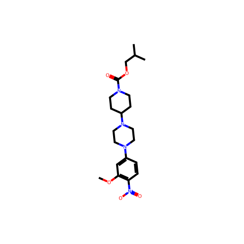 COc1cc(N2CCN(C3CCN(C(=O)OCC(C)C)CC3)CC2)ccc1[N+](=O)[O-]